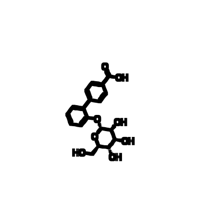 O=C(O)c1ccc(-c2ccccc2O[C@H]2O[C@H](CO)[C@@H](O)[C@H](O)[C@@H]2O)cc1